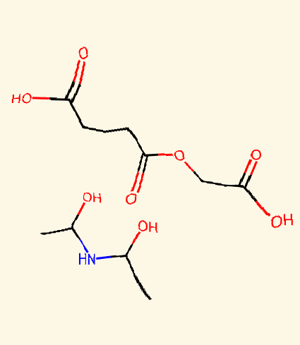 CC(O)NC(C)O.O=C(O)CCC(=O)OCC(=O)O